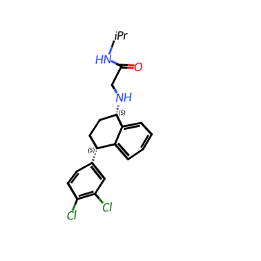 CC(C)NC(=O)CN[C@H]1CC[C@@H](c2ccc(Cl)c(Cl)c2)c2ccccc21